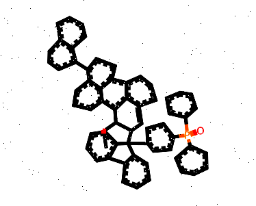 CCC1c2c3cccc4c(-c5cccc6ccccc56)ccc(c5cccc(c25)=CC1C1(c2ccc(P(=O)(c5ccccc5)c5ccccc5)cc2)c2ccccc2-c2ccccc21)c43